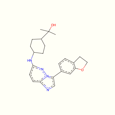 CC(C)(O)C1CCC(Nc2ccc3ncc(-c4ccc5c(c4)OCC5)n3n2)CC1